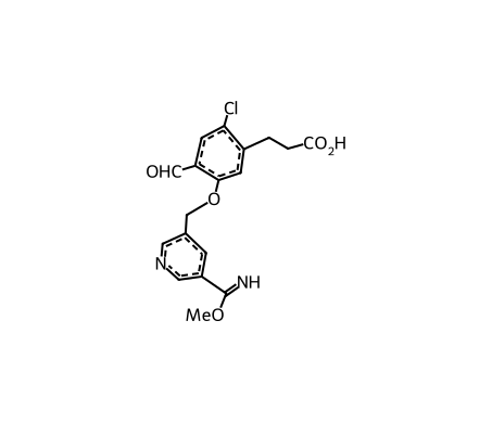 COC(=N)c1cncc(COc2cc(CCC(=O)O)c(Cl)cc2C=O)c1